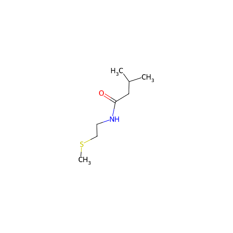 CSCCNC(=O)CC(C)C